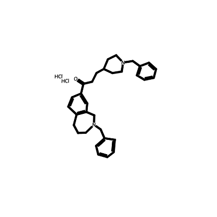 Cl.Cl.O=C(CCC1CCN(Cc2ccccc2)CC1)c1ccc2c(c1)CN(Cc1ccccc1)CCC2